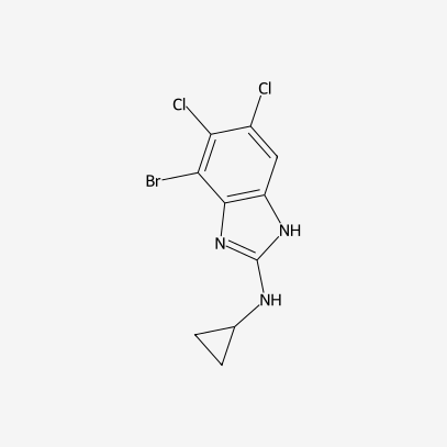 Clc1cc2[nH]c(NC3CC3)nc2c(Br)c1Cl